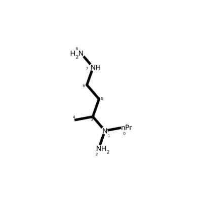 CCCN(N)C(C)CCNN